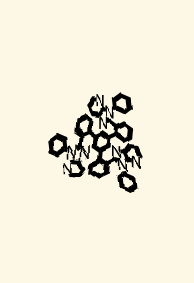 c1ccc(-n2c(-c3ccccc3-c3cc(-c4ccccc4-c4nc5cccnc5n4-c4ccccc4)cc(-c4ccccc4-c4nc5cccnc5n4-c4ccccc4)c3)nc3cccnc32)cc1